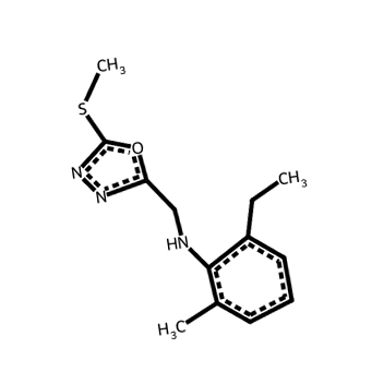 CCc1cccc(C)c1NCc1nnc(SC)o1